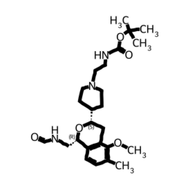 COc1c(C)ccc2c1C[C@@H](C1CCN(CCNC(=O)OC(C)(C)C)CC1)O[C@H]2CNC=O